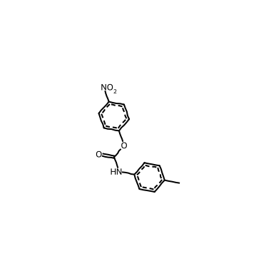 Cc1ccc(NC(=O)Oc2ccc([N+](=O)[O-])cc2)cc1